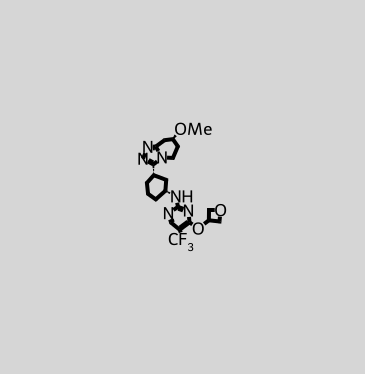 CO[C@H]1CCn2c(nnc2[C@H]2CCC[C@@H](Nc3ncc(C(F)(F)F)c(OC4COC4)n3)C2)C1